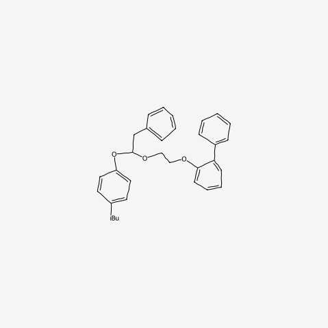 CCC(C)c1ccc(OC(Cc2ccccc2)OCCOc2ccccc2-c2ccccc2)cc1